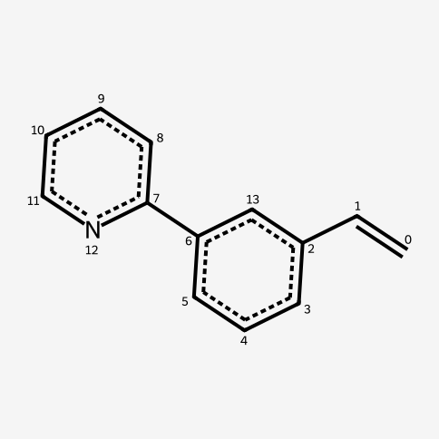 C=Cc1cccc(-c2ccccn2)c1